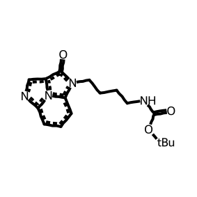 CC(C)(C)OC(=O)NCCCCn1c(=O)c2cnc3cccc1n32